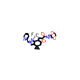 O=C(NC[C@@H]1COCCO1)c1oc2c(c1C(F)(F)F)-c1nn(Cc3ccccn3)cc1C1(CC1)C2